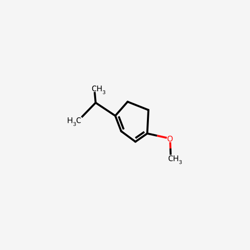 COC1=CC=C(C(C)C)CC1